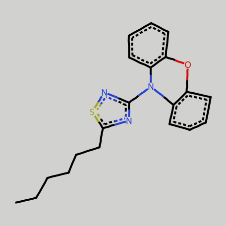 CCCCCCc1nc(N2c3ccccc3Oc3ccccc32)ns1